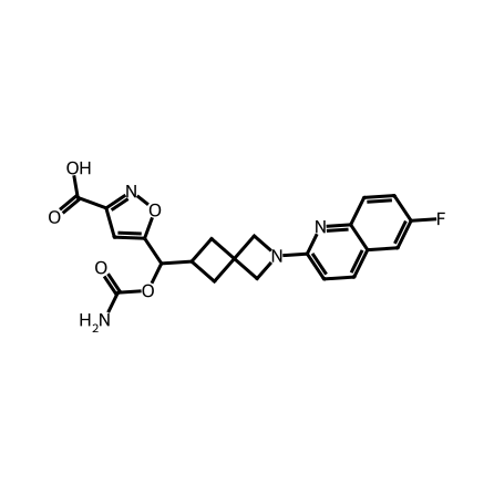 NC(=O)OC(c1cc(C(=O)O)no1)C1CC2(C1)CN(c1ccc3cc(F)ccc3n1)C2